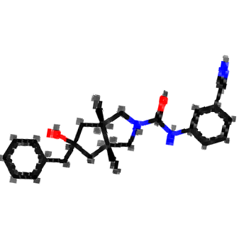 N#Cc1cccc(NC(=O)N2C[C@@H]3CC(O)(Cc4ccccc4)C[C@@H]3C2)c1